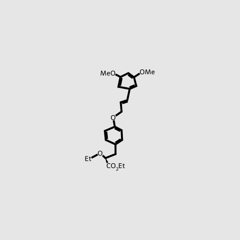 CCOC(=O)[C@H](Cc1ccc(OCC=Cc2cc(OC)cc(OC)c2)cc1)OCC